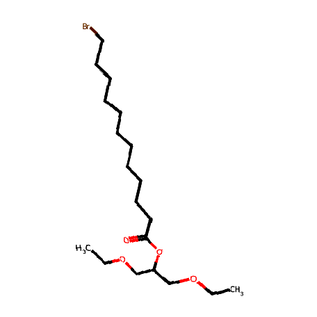 CCOCC(COCC)OC(=O)CCCCCCCCCCCBr